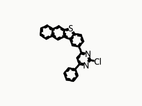 Clc1nc(-c2ccccc2)cc(-c2ccc3sc4cc5ccccc5cc4c3c2)n1